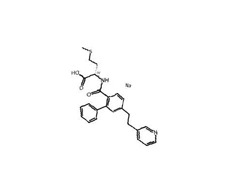 CSCC[C@H](NC(=O)c1ccc(CCc2cccnc2)cc1-c1ccccc1)C(=O)O.[Na]